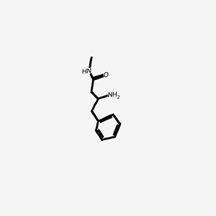 CNC(=O)CC(N)Cc1ccccc1